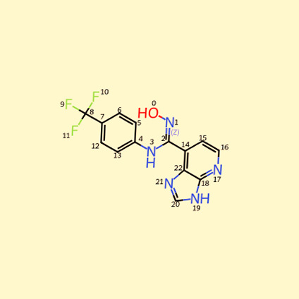 O/N=C(\Nc1ccc(C(F)(F)F)cc1)c1ccnc2[nH]cnc12